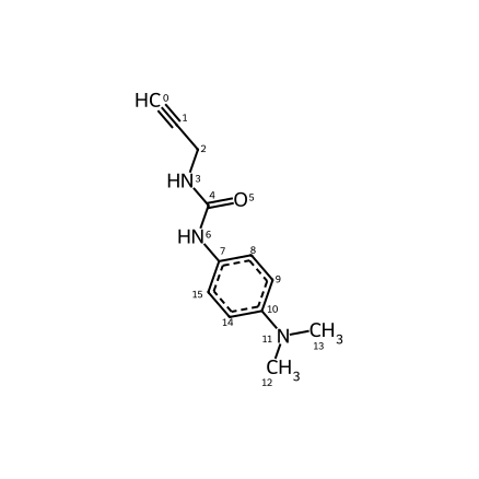 C#CCNC(=O)Nc1ccc(N(C)C)cc1